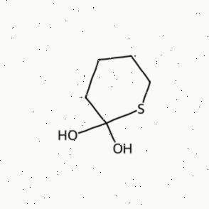 OC1(O)[CH]C[CH]CS1